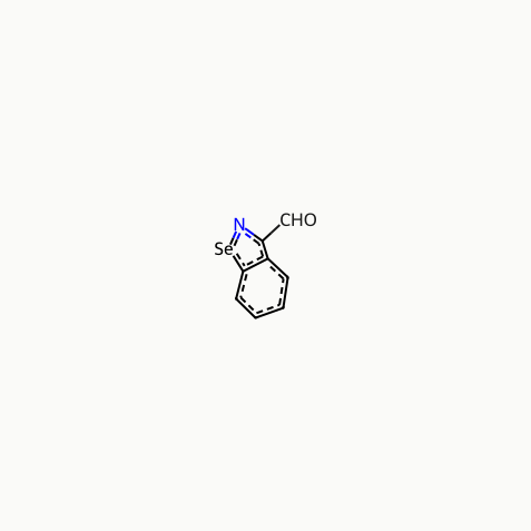 O=Cc1n[se]c2ccccc12